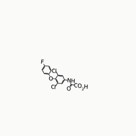 O=C(O)C(=O)Nc1cc(Cl)c(Oc2ccc(F)cc2)c(Cl)c1